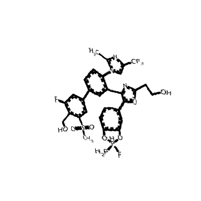 Cc1nc(C(F)(F)F)cn1-c1ccc(-c2cc(F)c(CO)c(S(C)(=O)=O)c2)cc1-c1nc(CCO)oc1-c1ccc2c(c1)O[PH](F)(P)O2